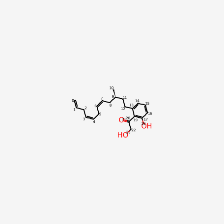 C=CC/C=C\C/C=C\C[C@@H](C)CCc1cccc(O)c1C(=O)CO